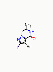 CC(=O)c1c(I)nn2c1C(=O)NC(C(F)(F)F)C2